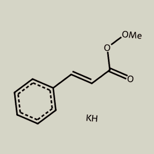 COOC(=O)C=Cc1ccccc1.[KH]